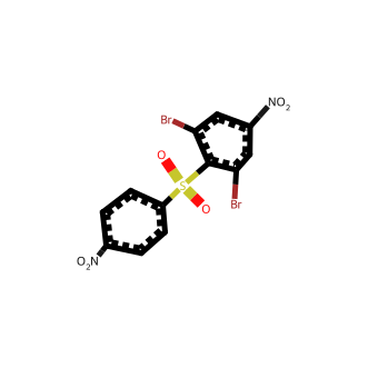 O=[N+]([O-])c1ccc(S(=O)(=O)c2c(Br)cc([N+](=O)[O-])cc2Br)cc1